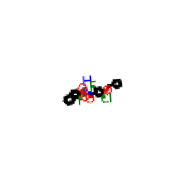 O=C(NS(=O)(=O)c1ccc2ccccc2c1F)c1cc(Cl)c(OCC2CCCC2)cc1F